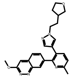 COc1cc2ccc(-c3nc(C)ccc3-c3cnn(CCC4CCOC4)c3)cc2nn1